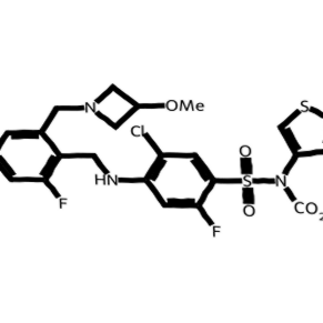 COC1CN(Cc2cccc(F)c2CNc2cc(F)c(S(=O)(=O)N(C(=O)O)c3cscn3)cc2Cl)C1